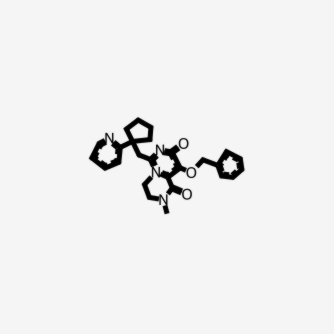 CN1CCn2c(CC3(c4ccccn4)CCCC3)nc(=O)c(OCc3ccccc3)c2C1=O